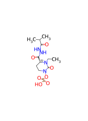 CCN1C(=O)N(OS(=O)(=O)O)CC[C@H]1C(=O)NNC(=O)C(C)C